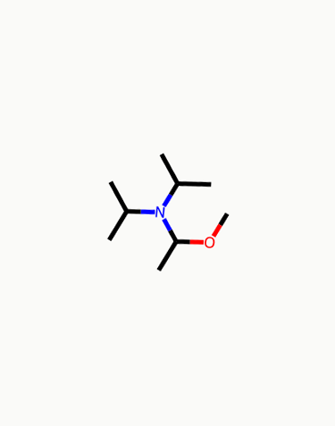 COC(C)N(C(C)C)C(C)C